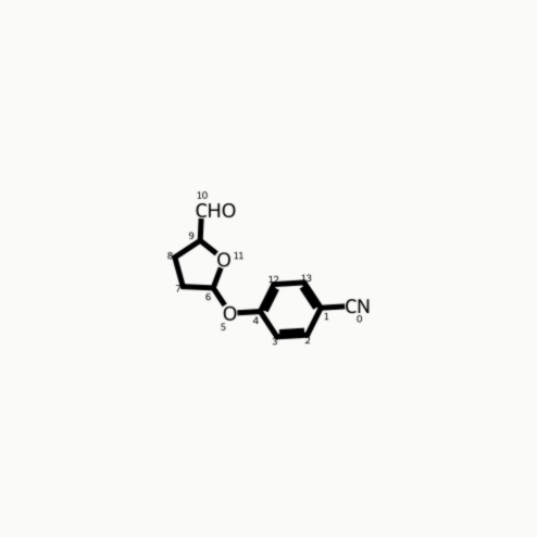 N#Cc1ccc(OC2CCC(C=O)O2)cc1